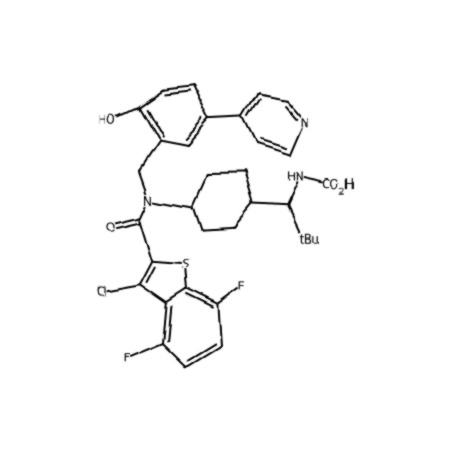 CC(C)(C)C(NC(=O)O)C1CCC(N(Cc2cc(-c3ccncc3)ccc2O)C(=O)c2sc3c(F)ccc(F)c3c2Cl)CC1